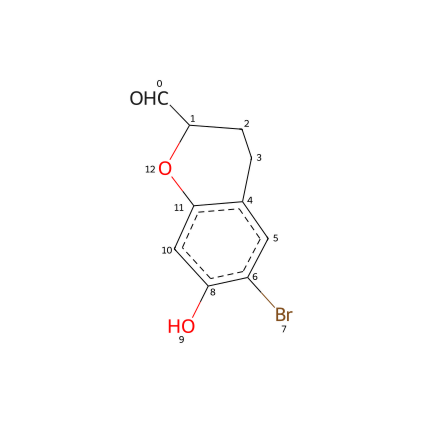 O=CC1CCc2cc(Br)c(O)cc2O1